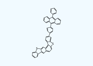 c1ccc(-c2c3ccccc3c(-c3ccc(-c4ccc5c(c4)sc4ccc6cc7c(cc6c45)sc4ccccc47)cc3)c3ccccc23)cc1